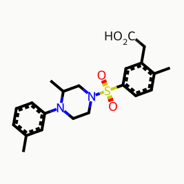 Cc1cccc(N2CCN(S(=O)(=O)c3ccc(C)c(CC(=O)O)c3)CC2C)c1